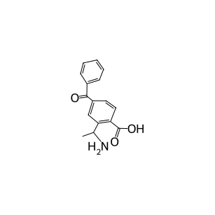 CC(N)c1cc(C(=O)c2ccccc2)ccc1C(=O)O